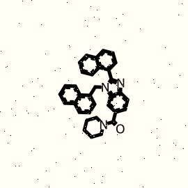 O=C(c1ccc2nc(-c3cccc4ccccc34)n(Cc3cccc4ccccc34)c2c1)N1CCCCC1